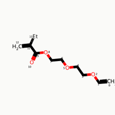 C=COCCOCCOC(=O)C(=C)CC